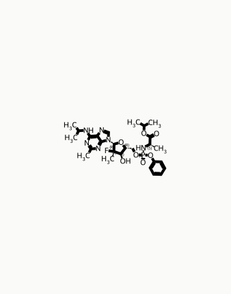 Cc1nc(NC(C)C)c2ncn([C@@H]3O[C@H](CO[P@](=O)(N[C@@H](C)C(=O)OC(C)C)Oc4ccccc4)[C@@H](O)[C@@]3(C)F)c2n1